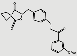 COc1cccc(C(=O)COc2ccc(CC3SC(=O)[N+]4(CCC4)C3=O)cc2)c1